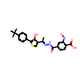 C/C(=N\NC(=O)c1ccc(C(=O)O)c(N=O)c1)c1csc(-c2ccc(C(C)(C)C)cc2)c1O